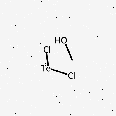 CO.Cl[Te]Cl